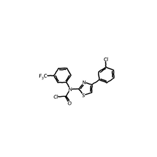 O=C(Cl)N(c1cccc(C(F)(F)F)c1)c1nc(-c2cccc(Cl)c2)cs1